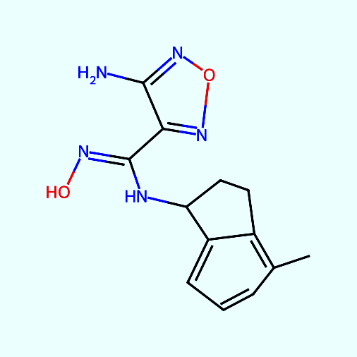 Cc1cccc2c1CCC2N/C(=N\O)c1nonc1N